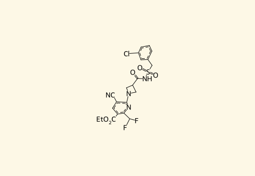 CCOC(=O)c1cc(C#N)c(N2CC(C(=O)NS(=O)(=O)Cc3cccc(Cl)c3)C2)nc1C(F)F